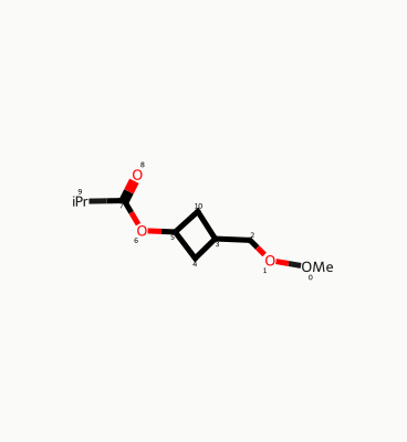 COOCC1CC(OC(=O)C(C)C)C1